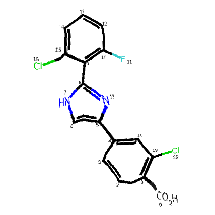 O=C(O)c1ccc(-c2c[nH]c(-c3c(F)cccc3Cl)n2)cc1Cl